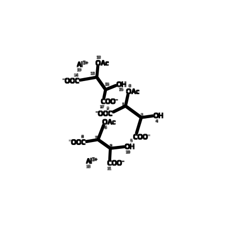 CC(=O)OC(C(=O)[O-])C(O)C(=O)[O-].CC(=O)OC(C(=O)[O-])C(O)C(=O)[O-].CC(=O)OC(C(=O)[O-])C(O)C(=O)[O-].[Al+3].[Al+3]